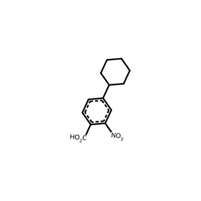 O=C(O)c1ccc(C2CCCCC2)cc1[N+](=O)[O-]